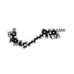 CCOc1cc([C@@H](CC#N)N2C(=O)c3cccc(CCCCCCCCCCCN4CCN(CC(=O)Nc5ccc6c(C7CCC(=O)NC7=O)nn(C)c6c5)CC4)c3C2=O)ccc1OC